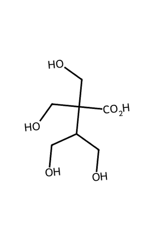 O=C(O)C(CO)(CO)C(CO)CO